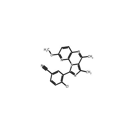 COc1ccc2nc(C)c3c(C)nc(-c4cc(C#N)ccc4Cl)n3c2n1